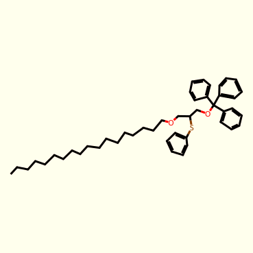 CCCCCCCCCCCCCCCCCCOCC(COC(c1ccccc1)(c1ccccc1)c1ccccc1)Sc1ccccc1